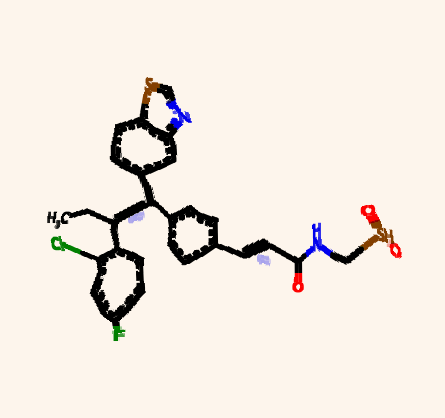 CC/C(=C(/c1ccc(/C=C/C(=O)NC[SH](=O)=O)cc1)c1ccc2scnc2c1)c1ccc(F)cc1Cl